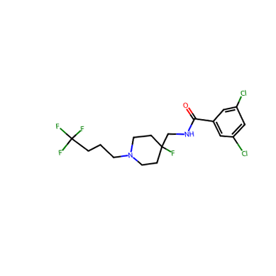 O=C(NCC1(F)CCN(CCCC(F)(F)F)CC1)c1cc(Cl)cc(Cl)c1